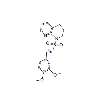 COc1ccc(/C=C/S(=O)(=O)N2CCCc3cccnc32)cc1OC